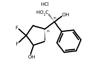 Cl.O=C(O)[C@](O)(c1ccccc1)[C@@H]1CC(O)C(F)(F)C1